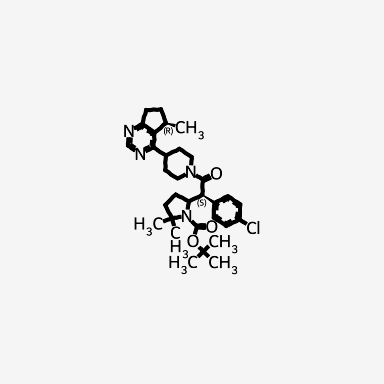 C[C@@H]1CCc2ncnc(C3CCN(C(=O)[C@@H](c4ccc(Cl)cc4)C4CCC(C)(C)N4C(=O)OC(C)(C)C)CC3)c21